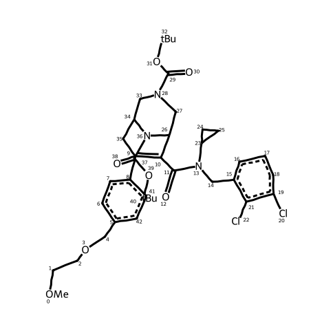 COCCOCc1ccc(C2=C(C(=O)N(Cc3cccc(Cl)c3Cl)C3CC3)C3CN(C(=O)OC(C)(C)C)CC(C2)N3C(=O)OC(C)(C)C)cc1